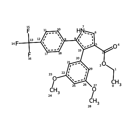 CCOC(=O)c1c[nH]c(-c2ccc(C(F)(F)F)cc2)c1-c1cc(OC)cc(OC)c1